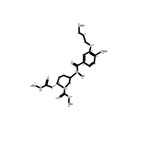 CCCCNC(=O)C[C@@H]1CCC(N(C(=O)c2ccc(OC)c(OCCCOC)c2)C(C)C)CN1C(=O)OC(C)(C)C